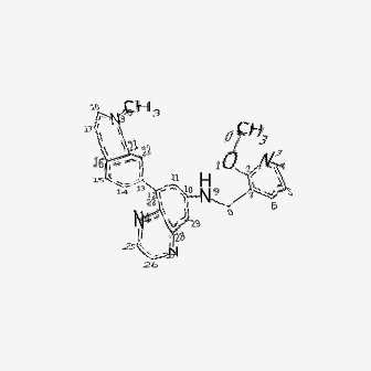 COc1ncccc1CNc1cc(-c2ccc3ccn(C)c3c2)c2nccnc2c1